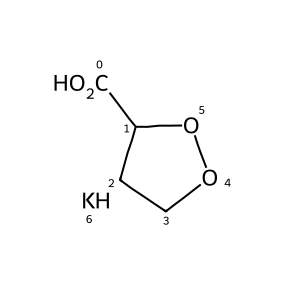 O=C(O)C1CCOO1.[KH]